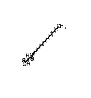 CCCCCCCCCCCCCCCCCCNC(=O)C=CC(=O)O